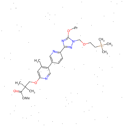 COC(=O)C(C)(C)COc1cc(C)c(-c2ccc(-c3nc(OC(C)C)n(COCCS(C)(C)C)n3)nc2)cn1